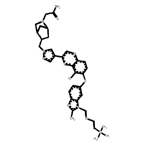 Cc1nc2ccc(Oc3ccc4ncc(-c5cnn(CC6CC7CC6CN7CC(N)=O)c5)nc4c3Cl)cc2n1COCC[Si](C)(C)C